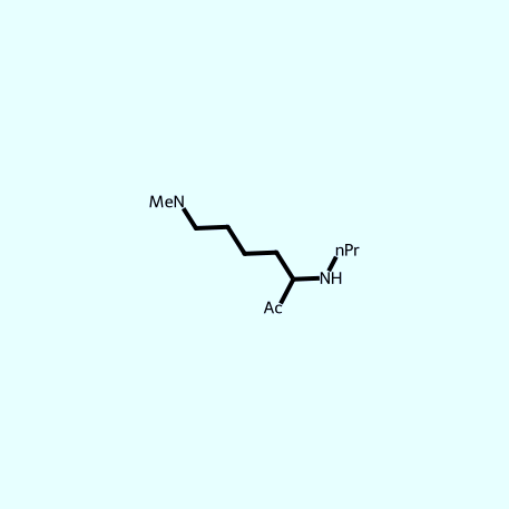 CCCNC(CCCCNC)C(C)=O